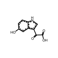 O=C(O)C(=O)c1c[nH]c2ccc(O)cc12